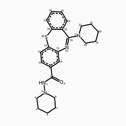 O=C(NN1CCCCC1)c1ccc2c(c1)N=C(N1CCCCC1)c1ccccc1S2